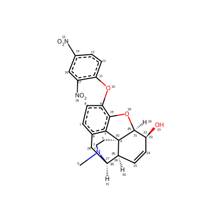 CN1CC[C@]23c4c5ccc(Oc6ccc([N+](=O)[O-])cc6[N+](=O)[O-])c4O[C@H]2[C@@H](O)C=C[C@H]3[C@H]1C5